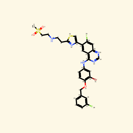 CCS(=O)(=O)CCNCCc1nc(-c2cc3c(Nc4ccc(OCc5cccc(F)c5)c(Br)c4)ncnc3cc2F)cs1